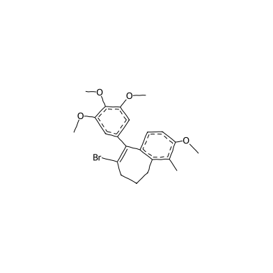 COc1ccc2c(c1C)CCCC(Br)=C2c1cc(OC)c(OC)c(OC)c1